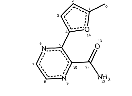 Cc1ccc(-c2nccnc2C(N)=O)o1